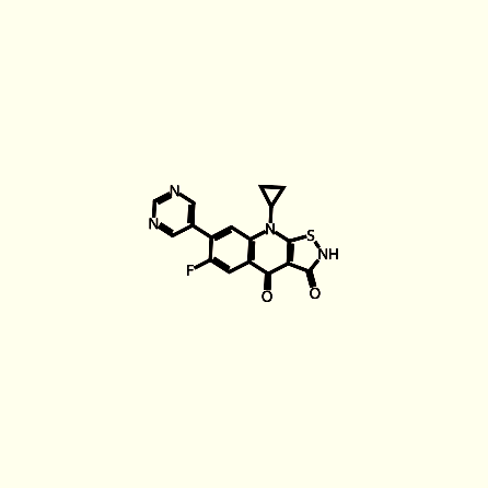 O=c1[nH]sc2c1c(=O)c1cc(F)c(-c3cncnc3)cc1n2C1CC1